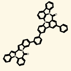 O=c1c2ccccc2n2c3ccccc3cc2c2cc3ccc(-c4cccc(-c5ccc6c(c5)c5cc(-c7ccccc7)cc7c(=O)n8c9ccccc9c9cccc(c98)n6c75)c4)cc3n12